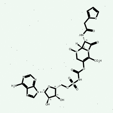 Nc1ncnc2c1ncn2[C@@H]1O[C@H](COS(=O)(=O)NC(=O)OC2=C(C(=O)O)N3C(=O)[C@@H](NC(=O)Cc4cccs4)[C@H]3[S+]([O-])C2)[C@@H](O)[C@H]1O